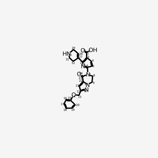 O=C(O)c1ccc(N2CCn3nc(COc4ccccc4)cc3C2=O)nc1C1=CCNCC1